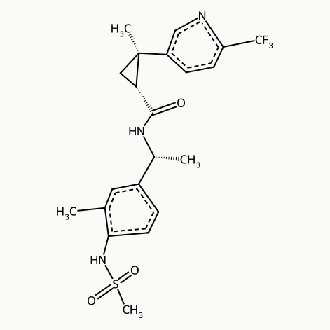 Cc1cc([C@@H](C)NC(=O)[C@@H]2C[C@@]2(C)c2ccc(C(F)(F)F)nc2)ccc1NS(C)(=O)=O